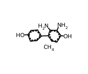 C.Nc1c(O)ccc(-c2ccc(O)cc2)c1N